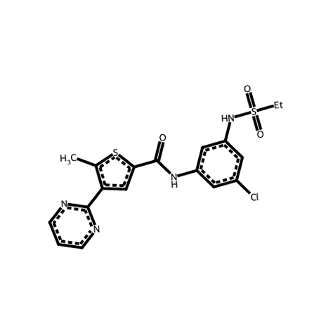 CCS(=O)(=O)Nc1cc(Cl)cc(NC(=O)c2cc(-c3ncccn3)c(C)s2)c1